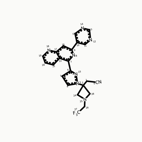 N#CCC1(n2ccc(-c3nc(-c4cncnc4)cc4ncccc34)n2)CN(CC(F)(F)F)C1